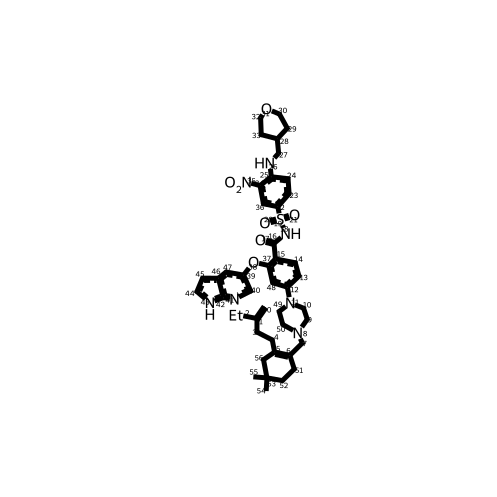 C=C(CC)CCC1=C(CN2CCN(c3ccc(C(=O)NS(=O)(=O)c4ccc(NCC5CCOCC5)c([N+](=O)[O-])c4)c(Oc4cnc5[nH]ccc5c4)c3)CC2)CCC(C)(C)C1